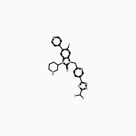 O=c1n(Cc2ccc(-c3nnc(C(F)F)o3)cn2)c2cc(F)c(-c3ccncc3)cc2n1C1CCCNC1